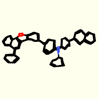 c1ccc(-c2cc3c4cc(-c5ccc(N(c6ccccc6)c6ccc(-c7ccc8ccccc8c7)cc6)cc5)ccc4oc3c3ccccc23)cc1